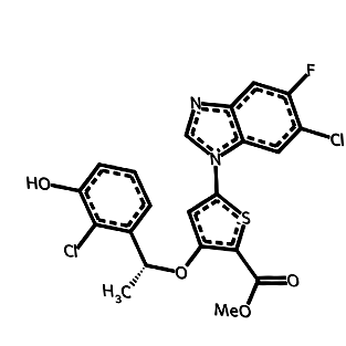 COC(=O)c1sc(-n2cnc3cc(F)c(Cl)cc32)cc1O[C@H](C)c1cccc(O)c1Cl